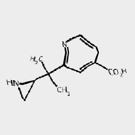 CC(C)(c1cc(C(=O)O)ccn1)C1CN1